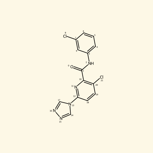 O=C(Nc1cccc(Cl)c1)c1nc(-n2cnnc2)ccc1Cl